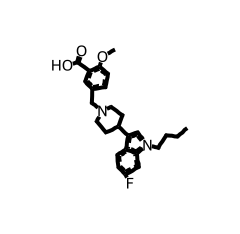 CCCCn1cc(C2CCN(Cc3ccc(OC)c(C(=O)O)c3)CC2)c2ccc(F)cc21